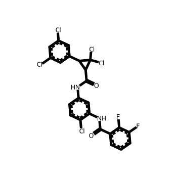 O=C(Nc1cc(NC(=O)C2C(c3cc(Cl)cc(Cl)c3)C2(Cl)Cl)ccc1Cl)c1cccc(F)c1F